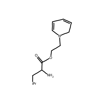 CC(C)CC(N)C(=O)OCCN1C=CC=CC1